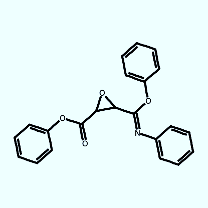 O=C(Oc1ccccc1)C1OC1C(=Nc1ccccc1)Oc1ccccc1